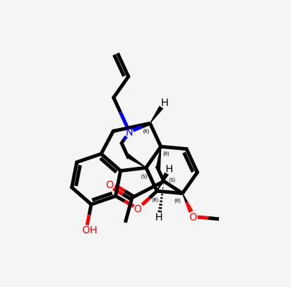 C=CCN1CC[C@]23c4c5ccc(O)c4O[C@H]2[C@@]2(OC)C=C[C@@]3(C[C@@H]2C(C)=O)[C@H]1C5